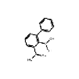 OP(O)c1cccc(-c2ccccc2)c1P(O)O